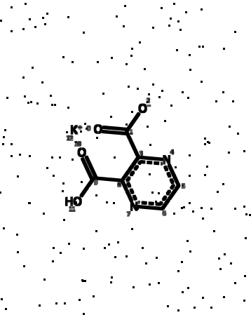 O=C([O-])c1nccnc1C(=O)O.[K+]